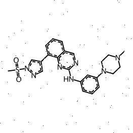 CN1CCN(c2cccc(Nc3ncc4cccc(-c5cnn(S(C)(=O)=O)c5)c4n3)c2)CC1